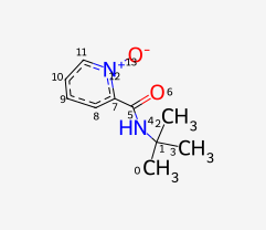 CC(C)(C)NC(=O)c1cccc[n+]1[O-]